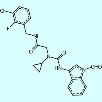 O=Cn1cc(NC(=O)N(CC(=O)NCc2cccc(Cl)c2F)C2CC2)c2ccccc21